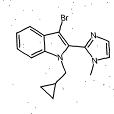 Cn1ccnc1-c1c(Br)c2ccccc2n1CC1CC1